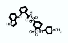 CN1CCC(Nc2ccc(S(=O)(=O)NC(=O)c3ccccc3Oc3cccc4[nH]ccc34)cc2[N+](=O)[O-])CC1